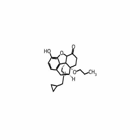 CCCO[C@@]12CCC(=O)C3Oc4c(O)ccc5c4[C@@]31CCN(CC1CC1)[C@@H]2C5